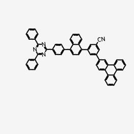 N#Cc1cc(-c2ccc3c4ccccc4c4ccccc4c3c2)cc(-c2ccc(-c3ccc(-c4nc(-c5ccccc5)nc(-c5ccccc5)n4)cc3)c3ccccc23)c1